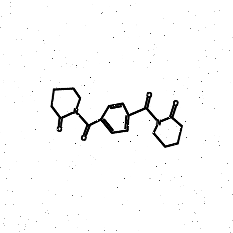 O=C1CCCCN1C(=O)c1ccc(C(=O)N2CCCCC2=O)cc1